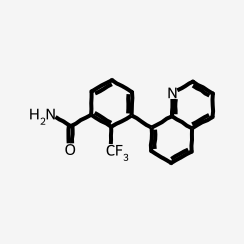 NC(=O)c1cccc(-c2cccc3cccnc23)c1C(F)(F)F